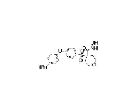 CC(C)(C)c1ccc(Oc2ccc(S(=O)(=O)C3(C(=O)NO)CCOCC3)cc2)cc1